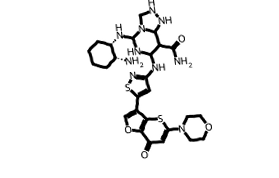 NC(=O)C1C(Nc2cc(-c3coc4c(=O)cc(N5CCOCC5)sc34)sn2)NC(N[C@H]2CCCC[C@H]2N)N2CNNC12